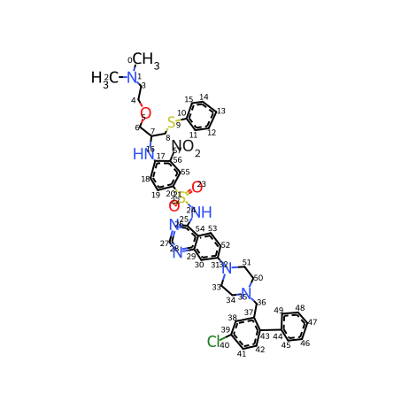 CN(C)CCOCC(CSc1ccccc1)Nc1ccc(S(=O)(=O)Nc2ncnc3cc(N4CCN(Cc5cc(Cl)ccc5-c5ccccc5)CC4)ccc23)cc1[N+](=O)[O-]